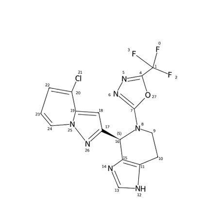 FC(F)(F)c1nnc(N2CCc3[nH]cnc3[C@H]2c2cc3c(Cl)cccn3n2)o1